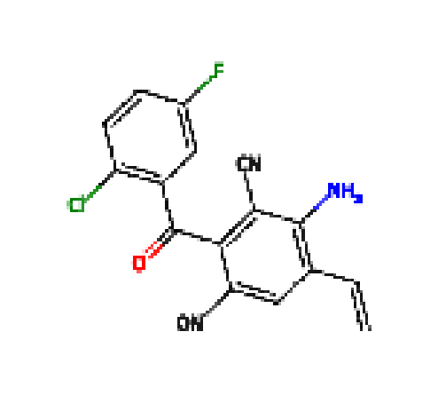 C=Cc1cc(N=O)c(C(=O)c2cc(F)ccc2Cl)c(C#N)c1N